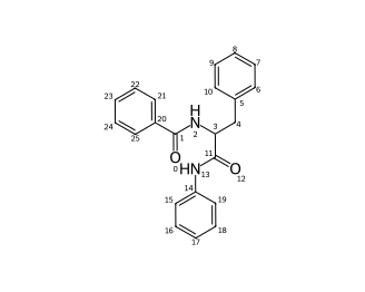 O=C(NC(Cc1ccccc1)C(=O)Nc1ccccc1)c1ccccc1